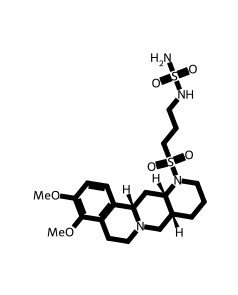 COc1ccc2c(c1OC)CCN1C[C@H]3CCCN(S(=O)(=O)CCCNS(N)(=O)=O)[C@H]3C[C@@H]21